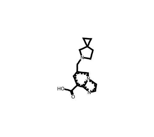 O=C(O)c1cc(CN2CCC3(CC3)C2)cn2ccnc12